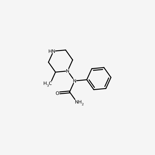 CC1CNCCN1N(C(N)=O)c1ccccc1